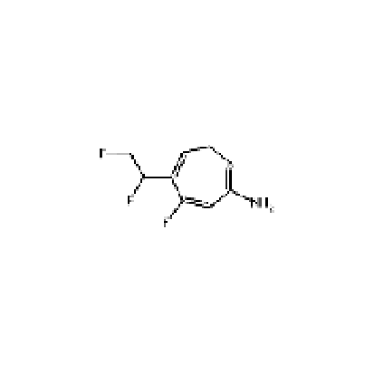 NC1=NCC=C(C(F)CF)C(F)=C1